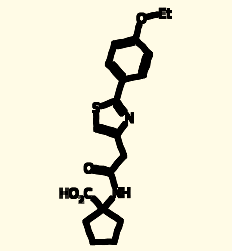 CCOc1ccc(-c2nc(CC(=O)NC3(C(=O)O)CCCC3)cs2)cc1